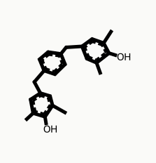 Cc1cc(Cc2ccc(Cc3cc(C)c(O)c(C)c3)cc2)cc(C)c1O